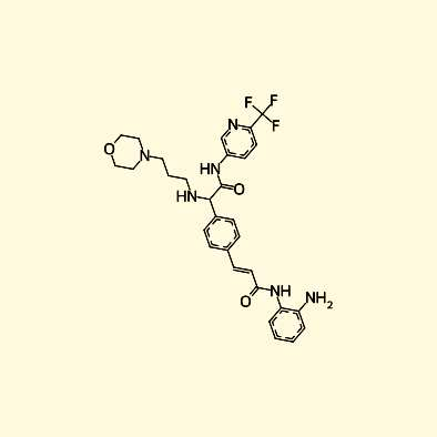 Nc1ccccc1NC(=O)C=Cc1ccc(C(NCCCN2CCOCC2)C(=O)Nc2ccc(C(F)(F)F)nc2)cc1